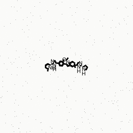 CC1CC=C[C@@H](c2ncc(-c3ccc4c(c3)OC(C)n3c-4cc4c3=CCC(C)(C3CN=C([C@@H]5CCCN5)N3)C=4)[nH]2)N1